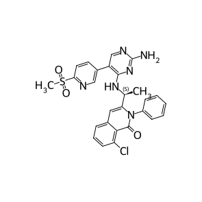 C[C@H](Nc1nc(N)ncc1-c1ccc(S(C)(=O)=O)nc1)c1cc2cccc(Cl)c2c(=O)n1-c1ccccc1